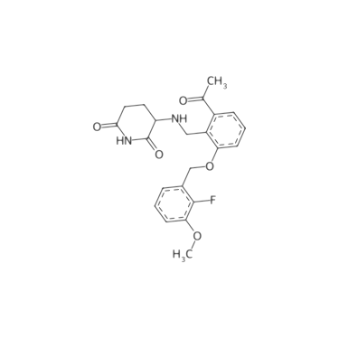 COc1cccc(COc2cccc(C(C)=O)c2CNC2CCC(=O)NC2=O)c1F